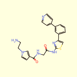 NCCn1ccc(C(=O)NCC(=O)Nc2nc(-c3cccc(-c4ccncc4)c3)cs2)c1